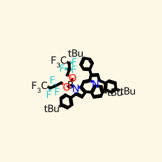 CC(C)(C)c1ccc(C2=CC(c3ccc(C(C)(C)C)cc3)=N/C2=C\c2c(-c3ccc(C(C)(C)C)cc3)cc(-c3ccc(C(C)(C)C)cc3)n2B(OCC(F)(F)C(F)C(F)(F)F)OCC(F)(F)C(F)C(F)(F)F)cc1